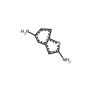 Nc1ccc2sc(N)cc2c1